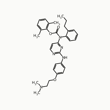 CCCc1ccccc1N(C(=O)Oc1c(C)cccc1C)c1ccnc(Nc2ccc(OCCN(C)C)cc2)n1